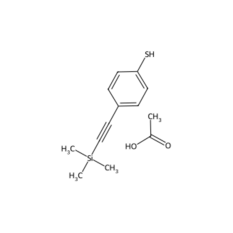 CC(=O)O.C[Si](C)(C)C#Cc1ccc(S)cc1